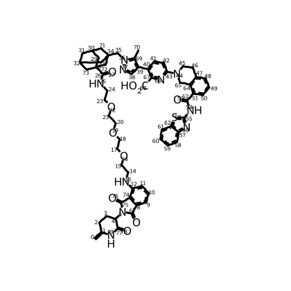 C=C1CCC(N2C(=O)c3cccc(NCCOCCOCCOCCNC(=O)C45CC6CC(CC(Cn7ncc(-c8ccc(N9CCc%10cccc(C(=O)Nc%11nc%12ccccc%12s%11)c%10C9)nc8C(=O)O)c7C)(C6)C4)C5)c3C2=O)C(=O)N1